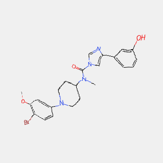 COc1cc(N2CCC(N(C)C(=O)n3cnc(-c4cccc(O)c4)c3)CC2)ccc1Br